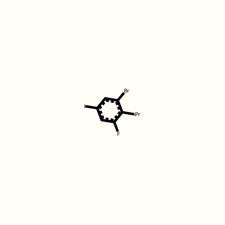 CC(C)c1c(F)cc(I)cc1Br